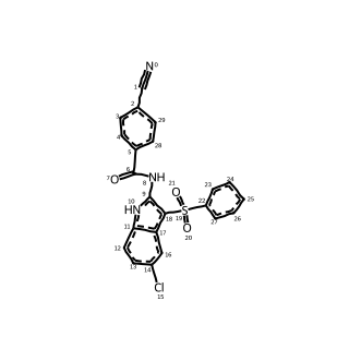 N#Cc1ccc(C(=O)Nc2[nH]c3ccc(Cl)cc3c2S(=O)(=O)c2ccccc2)cc1